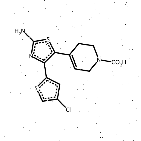 Nc1nc(-c2cc(Cl)cs2)c(C2=CCN(C(=O)O)CC2)s1